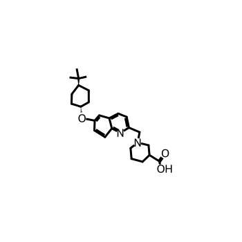 CC(C)(C)[C@H]1CC[C@H](Oc2ccc3nc(CN4CCCC(C(=O)O)C4)ccc3c2)CC1